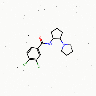 O=C(NC1CCCC1N1CCCC1)c1ccc(Cl)c(Cl)c1